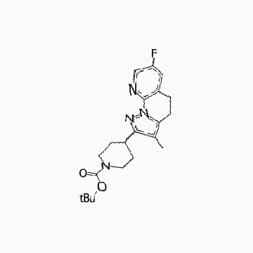 Cc1c(C2CCN(C(=O)OC(C)(C)C)CC2)nn2c1CCc1cc(F)cnc1-2